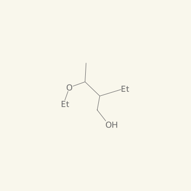 CCOC(C)C(CC)CO